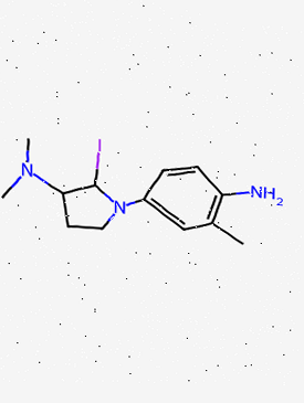 Cc1cc(N2CCC(N(C)C)C2I)ccc1N